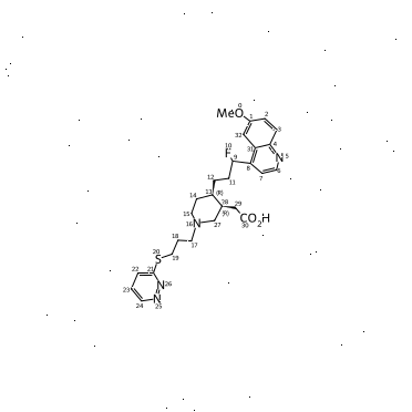 COc1ccc2nccc(C(F)CC[C@@H]3CCN(CCCSc4cccnn4)C[C@@H]3CC(=O)O)c2c1